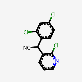 N#CC(c1ccc(Cl)cc1Cl)c1cccnc1Cl